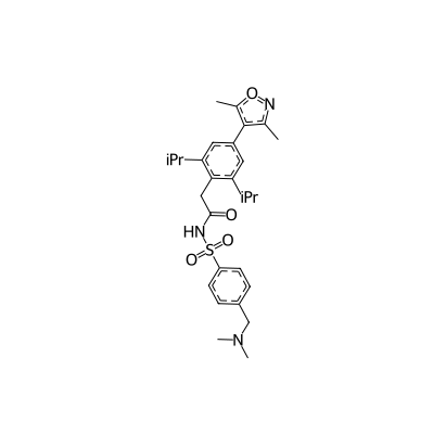 Cc1noc(C)c1-c1cc(C(C)C)c(CC(=O)NS(=O)(=O)c2ccc(CN(C)C)cc2)c(C(C)C)c1